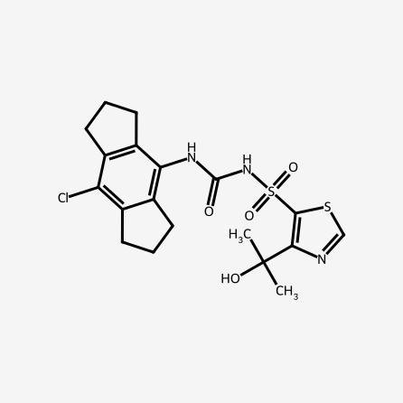 CC(C)(O)c1ncsc1S(=O)(=O)NC(=O)Nc1c2c(c(Cl)c3c1CCC3)CCC2